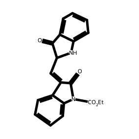 CCOC(=O)N1C(=O)/C(=C\C2Nc3ccccc3C2=O)c2ccccc21